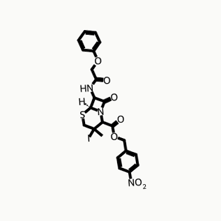 CC1(I)CS[C@H]2C(NC(=O)COc3ccccc3)C(=O)N2C1C(=O)OCc1ccc([N+](=O)[O-])cc1